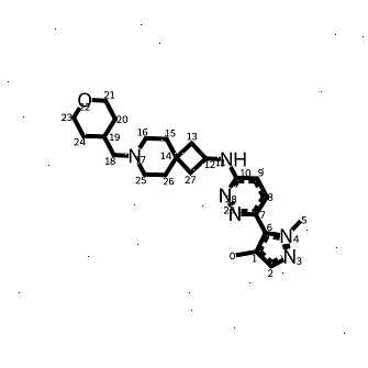 Cc1cnn(C)c1-c1ccc(NC2CC3(CCN(CC4CCOCC4)CC3)C2)nn1